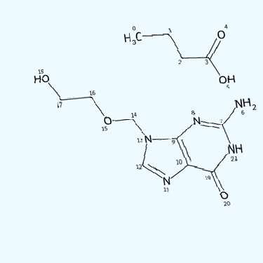 CCCC(=O)O.Nc1nc2c(ncn2COCCO)c(=O)[nH]1